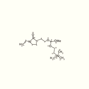 C=CN1CCC(CCOP(OC)OCC[N+](C)(C)C)C1=O